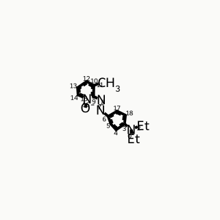 CCN(CC)c1ccc(N=Nc2c(C)ccc[n+]2[O-])cc1